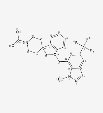 Cn1ncc2cc(C(F)(F)F)cc(COCC3(c4ccccc4)CCN(C(=O)O)CC3)c21